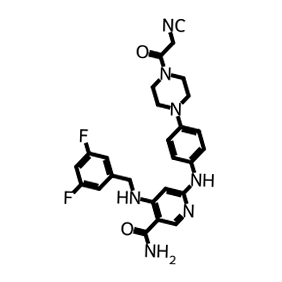 [C-]#[N+]CC(=O)N1CCN(c2ccc(Nc3cc(NCc4cc(F)cc(F)c4)c(C(N)=O)cn3)cc2)CC1